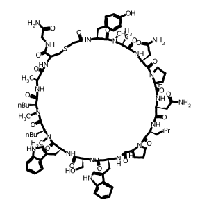 CCCC[C@H]1C(=O)N(C)[C@@H](CCCC)C(=O)N[C@@H](C)C(=O)NC(C(=O)NCC(N)=O)CSCC(=O)N[C@@H](Cc2ccc(O)cc2)C(=O)N(C)[C@@H](C)C(=O)N[C@@H](CC(N)=O)C(=O)N2CCC[C@H]2C(=O)N[C@@H](CC(N)=O)C(=O)N[C@@H](CC(C)C)C(=O)N2CCC[C@H]2C(=O)N[C@@H](Cc2c[nH]c3ccccc23)C(=O)N[C@@H](CO)C(=O)N[C@@H](Cc2c[nH]c3ccccc23)C(=O)N1C